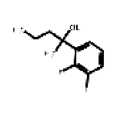 CCCC(C)(C)c1cccc(F)c1F